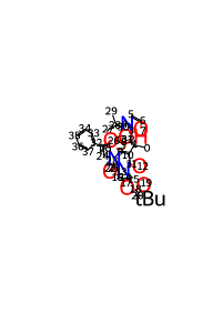 Cc1c(-c2ncco2)sc2c1c(=O)n(C(C)(C)OC(=O)C(C)(C)C)c(=O)n2C[C@H](OCC(C)CO)c1ccccc1